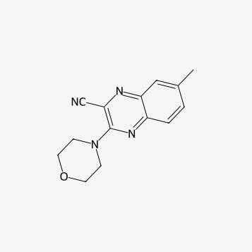 Cc1ccc2nc(N3CCOCC3)c(C#N)nc2c1